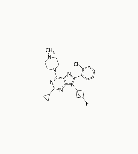 CN1CCN(c2nc(C3CC3)nc3c2nc(-c2ccccc2Cl)n3C23CC(F)(C2)C3)CC1